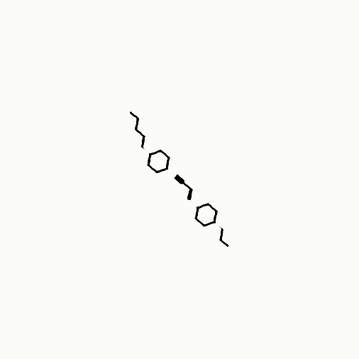 CCCCC[C@H]1CC[C@H](C#CC=C[C@H]2CC[C@H](CCC)CC2)CC1